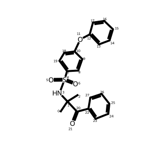 CC(C)(NS(=O)(=O)c1ccc(Oc2ccccc2)cc1)C(=O)c1ccccc1